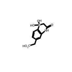 O=C(O)Cc1ccc2c(c1)NC(=O)CS2(O)O